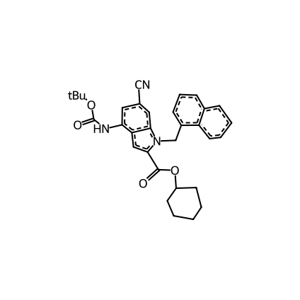 CC(C)(C)OC(=O)Nc1cc(C#N)cc2c1cc(C(=O)OC1CCCCC1)n2Cc1cccc2ccccc12